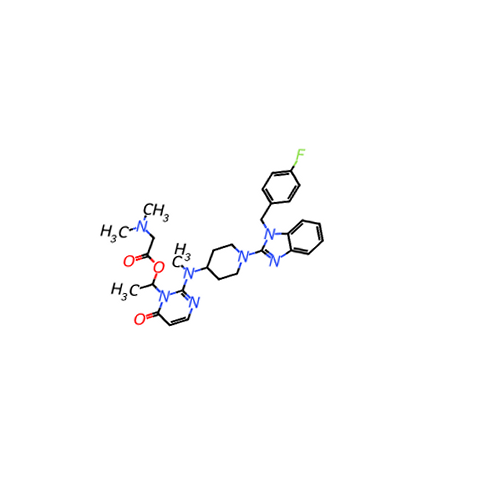 CC(OC(=O)CN(C)C)n1c(N(C)C2CCN(c3nc4ccccc4n3Cc3ccc(F)cc3)CC2)nccc1=O